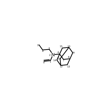 C=CN(CCC)C12CC3CC(CC(C3)C1)C2